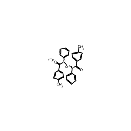 Cc1ccc(C(=O)[N]([Zr+2][N](C(=O)c2ccc(C)cc2)c2ccccc2)c2ccccc2)cc1.[F-].[F-]